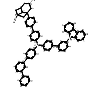 C[C@H]1CC2C[C@H]3CC(c4ccc(-c5ccc(N(c6ccc(-c7cccc(-c8ccccc8)c7)cc6)c6ccc(-c7cccc(-n8c9ccccc9c9ccccc98)c7)cc6)cc5)cc4)(C1)C23